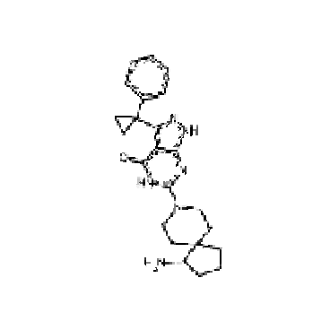 NC1CCCC12CCN(c1nc3[nH]nc(C4(c5ccccc5)CC4)c3c(=O)[nH]1)CC2